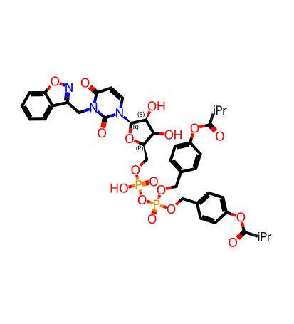 CC(C)C(=O)Oc1ccc(COP(=O)(OCc2ccc(OC(=O)C(C)C)cc2)OP(=O)(O)OC[C@H]2O[C@@H](n3ccc(=O)n(Cc4noc5ccccc45)c3=O)[C@@H](O)C2O)cc1